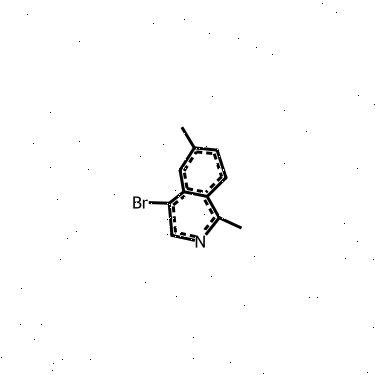 Cc1ccc2c(C)ncc(Br)c2c1